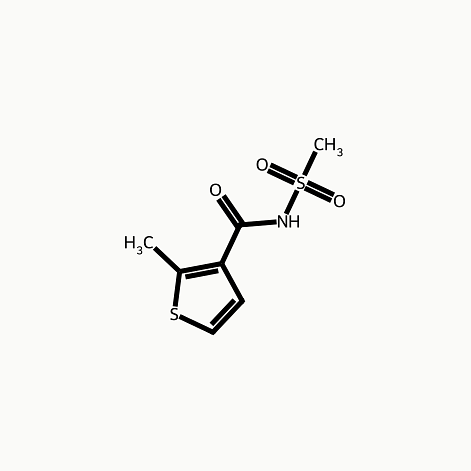 Cc1sccc1C(=O)NS(C)(=O)=O